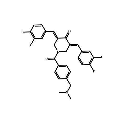 CN(C)Cc1ccc(C(=O)N2C/C(=C\c3ccc(F)c(F)c3)C(=O)/C(=C/c3ccc(F)c(F)c3)C2)cc1